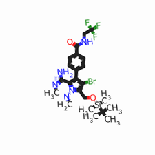 C=Nn1c(CO[Si](C)(C)C(C)(C)C)c(Br)c(-c2ccc(C(=O)NCC(F)(F)F)cc2)c1/C(N)=N\C